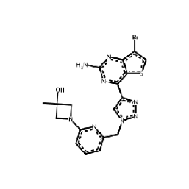 CC1(O)CN(c2cccc(Cn3cc(-c4nc(N)nc5c(Br)csc45)nn3)n2)C1